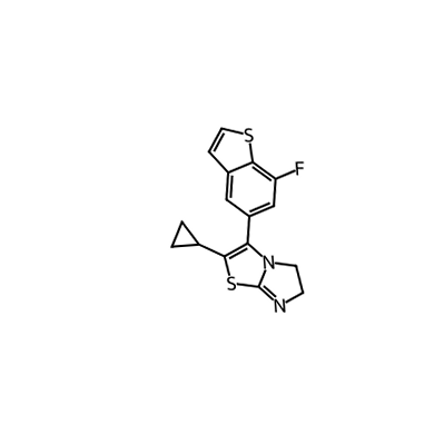 Fc1cc(C2=C(C3CC3)SC3=NCCN32)cc2ccsc12